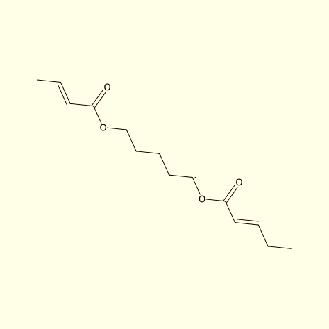 CC=CC(=O)OCCCC[CH]OC(=O)C=CCC